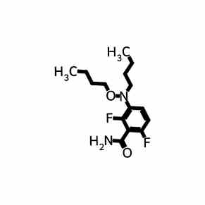 CCCCON(CCCC)c1ccc(F)c(C(N)=O)c1F